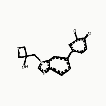 OC1(Cn2cnc3ccc(-c4ccc(Cl)c(Cl)c4)cc32)COC1